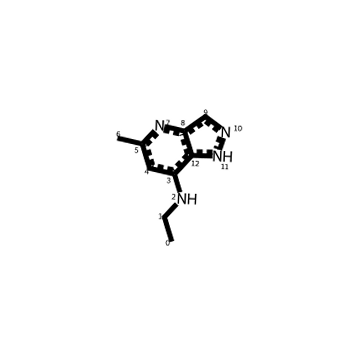 CCNc1cc(C)nc2cn[nH]c12